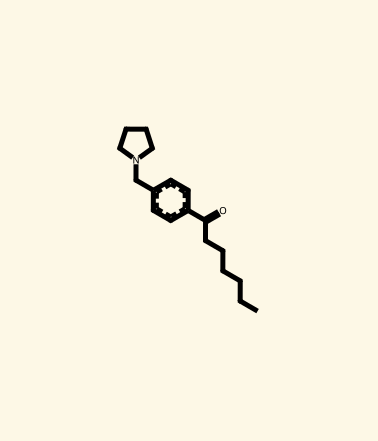 CCCCCCC(=O)c1ccc(CN2CCCC2)cc1